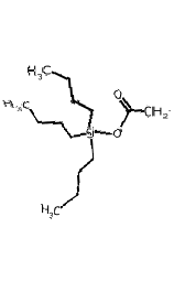 [CH2]C(=O)O[Si](CCCC)(CCCC)CCCC